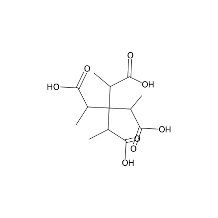 CC(C(=O)O)C(C(C)C(=O)O)(C(C)C(=O)O)C(C)C(=O)O